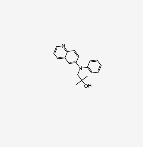 CC(C)(O)CN(c1ccccc1)c1ccc2ncccc2c1